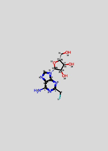 Nc1nc(CF)nc2c1ncn2[C@@H]1O[C@H](CO)[C@@H](O)[C@H]1O